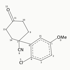 COc1ccc(Cl)c(C2(C#N)CCC(=O)CC2)c1